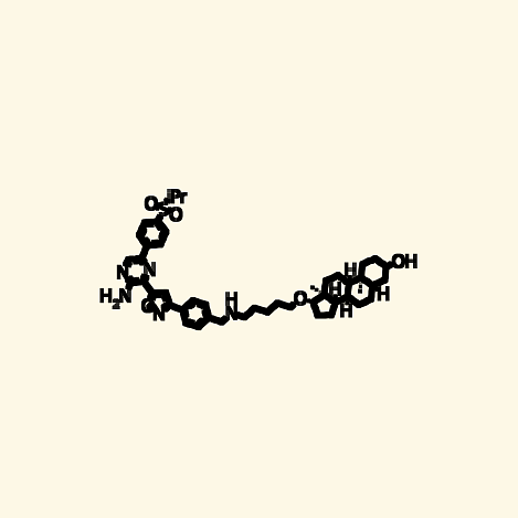 CC(C)S(=O)(=O)c1ccc(-c2cnc(N)c(-c3cc(-c4ccc(CNCCCCCO[C@H]5CC[C@H]6[C@@H]7CC[C@H]8CC(O)CC[C@]8(C)[C@H]7CC[C@]56C)cc4)no3)n2)cc1